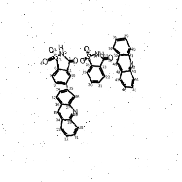 O=C1NS(=O)(=O)c2ccccc21.O=C1NS(=O)(=O)c2ccccc21.c1ccc2nc3ccccc3cc2c1.c1ccc2nc3ccccc3cc2c1